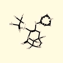 O=C(O)C(F)(F)F.O=C(O)C1=C(Sc2ccncc2)C[C@@H]2CN[C@@H]3C(=O)N1[C@H]23